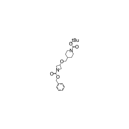 CC(C)(C)OC(=O)N1CCC(COC2CN(C(=O)OCc3ccccc3)C2)CC1